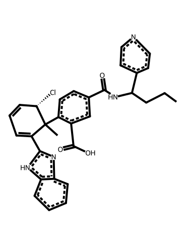 CCCC(NC(=O)c1ccc(C2(C)C(c3nc4ccccc4[nH]3)=CC=C[C@@H]2Cl)c(C(=O)O)c1)c1ccncc1